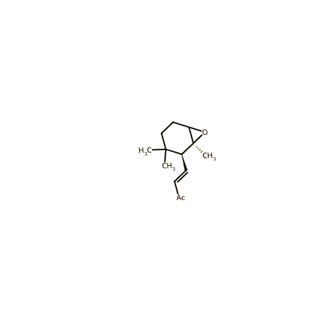 CC(=O)/C=C/[C@H]1C(C)(C)CCC2O[C@]21C